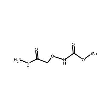 CC(C)(C)OC(=O)NOCC(=O)NN